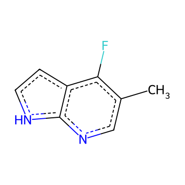 Cc1cnc2[nH]ccc2c1F